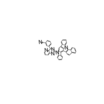 N#Cc1cccc(-c2nc(-n3c4ccccc4c4c5c6ccc7ccccc7c6n6c7ccccc7c(cc43)c56)nc3cccnc23)c1